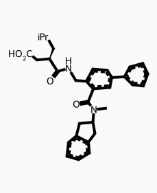 CC(C)C[C@H](CC(=O)O)C(=O)NCc1ccc(-c2ccccc2)cc1C(=O)N(C)C1Cc2ccccc2C1